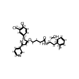 O=C(CCCOc1cc(-c2cccnc2)nn1-c1ccc(Cl)c(Cl)c1)N[C@H](CO)Cc1ccccc1F